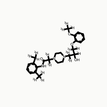 [2H]C([2H])([2H])Oc1ccccc1OC([2H])([2H])C([2H])(O)C([2H])([2H])N1CCN(C([2H])([2H])C(=O)Nc2c(C([2H])([2H])[2H])cccc2C([2H])([2H])[2H])CC1